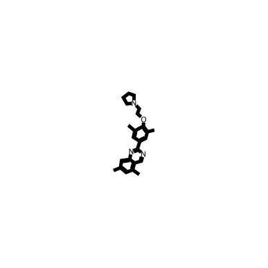 Cc1cc(C)c2cnc(-c3cc(C)c(OCCN4CCCC4)c(C)c3)nc2c1